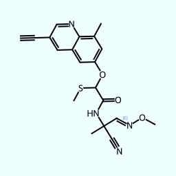 C#Cc1cnc2c(C)cc(OC(SC)C(=O)NC(C)(C#N)/C=N/OC)cc2c1